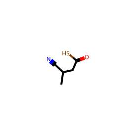 CC(C#N)CC(=O)S